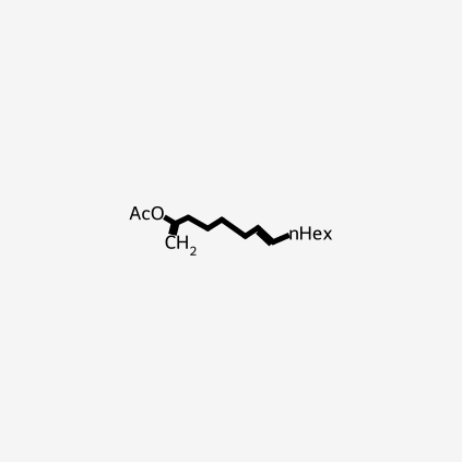 C=C(CCCCC=CCCCCCC)OC(C)=O